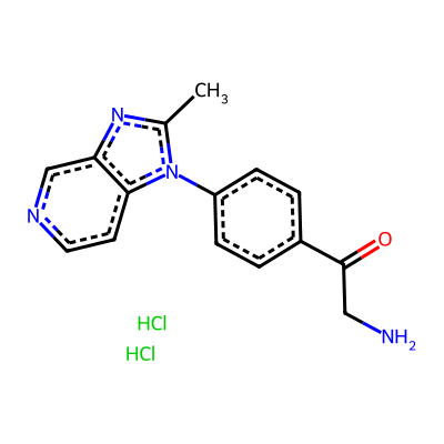 Cc1nc2cnccc2n1-c1ccc(C(=O)CN)cc1.Cl.Cl